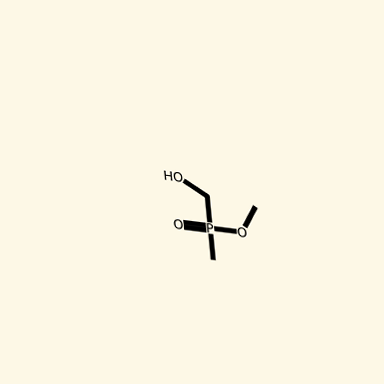 COP(C)(=O)CO